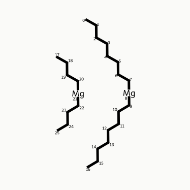 CCCCCCC[CH2][Mg][CH2]CCCCCCC.CCC[CH2][Mg][CH2]CCC